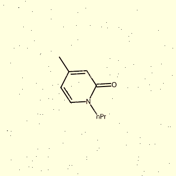 CCCn1ccc(C)cc1=O